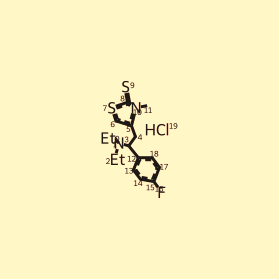 CCN(CC)C(Cc1csc(=S)n1C)c1ccc(F)cc1.Cl